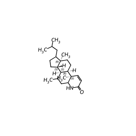 CC(C)CC1CC[C@H]2[C@@H]3C(C)CC4NC(=O)C=C[C@]4(C)[C@@H]3CC[C@]12C